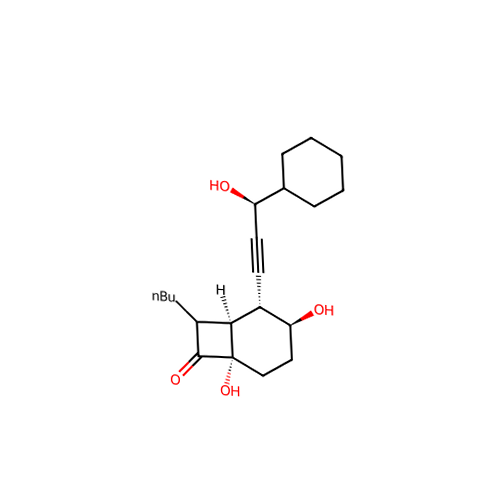 CCCCC1C(=O)[C@]2(O)CC[C@H](O)[C@@H](C#C[C@@H](O)C3CCCCC3)[C@H]12